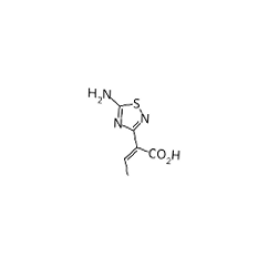 C/C=C(\C(=O)O)c1nsc(N)n1